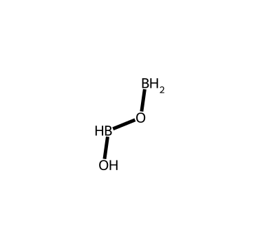 BOBO